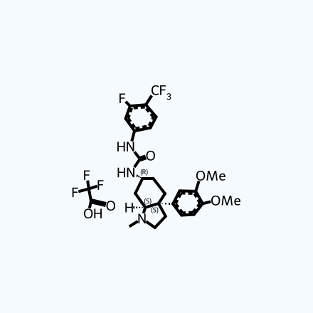 COc1ccc([C@@]23CC[C@@H](NC(=O)Nc4ccc(C(F)(F)F)c(F)c4)C[C@@H]2N(C)CC3)cc1OC.O=C(O)C(F)(F)F